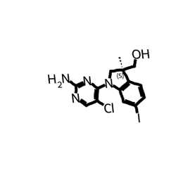 C[C@@]1(CO)CN(c2nc(N)ncc2Cl)c2cc(I)ccc21